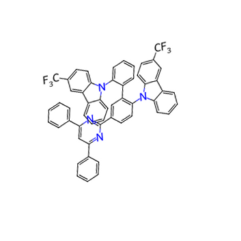 FC(F)(F)c1ccc2c(c1)c1ccccc1n2-c1ccccc1-c1cc(-c2nc(-c3ccccc3)cc(-c3ccccc3)n2)ccc1-n1c2ccccc2c2cc(C(F)(F)F)ccc21